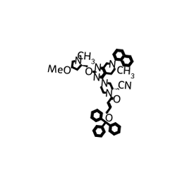 CO[C@@H]1C[C@H](COc2nc3c(c(N4CCN(C(=O)/C=C/COC(c5ccccc5)(c5ccccc5)c5ccccc5)[C@@H](CC#N)C4)n2)CCN(c2cccc4cccc(C)c24)C3)N(C)C1